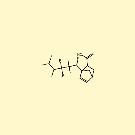 O=C(O)C1CC2C=CC1(C(F)C(F)(F)C(F)(F)C(F)C(F)F)C2